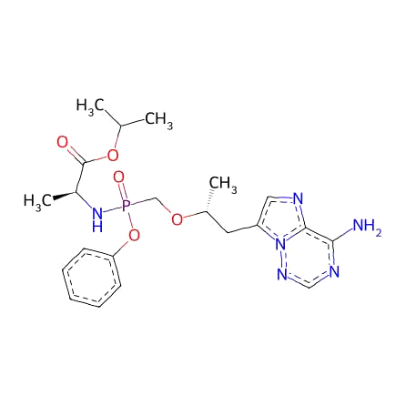 CC(C)OC(=O)[C@H](C)NP(=O)(CO[C@H](C)Cc1cnc2c(N)ncnn12)Oc1ccccc1